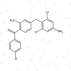 Cc1cc(Cc2c(Cl)cc(N)cc2Cl)ccc1C(=O)c1ccc(Cl)cc1